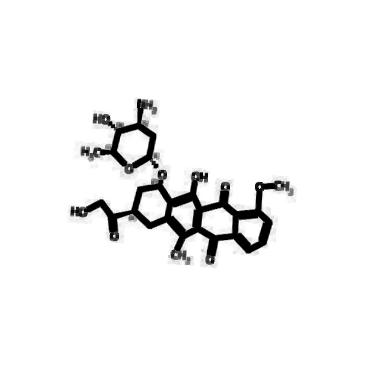 COc1cccc2c1C(=O)c1c(O)c3c(c(C)c1C2=O)C[C@@H](C(=O)CO)C[C@@H]3O[C@H]1C[C@H](N)[C@@H](O)[C@H](C)O1